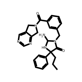 CCCC1(c2ccccc2)NC(N)N(Cc2cccc(C(=O)N3Cc4cncnc4C3)c2)C1=O